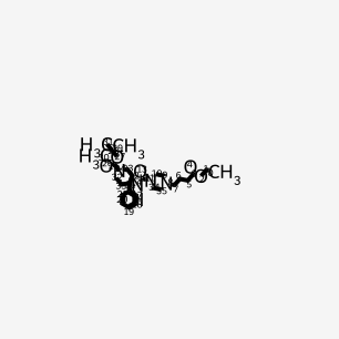 CCOC(=O)CCCN1CCN(C(=O)NC2(c3ccccc3)CCN(C(=O)OC(C)(C)C)CC2)CC1